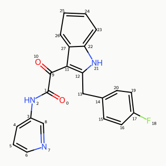 O=C(Nc1cccnc1)C(=O)c1c(Cc2ccc(F)cc2)[nH]c2ccccc12